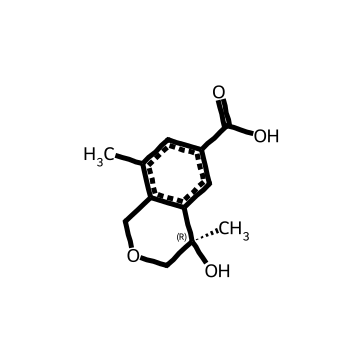 Cc1cc(C(=O)O)cc2c1COC[C@]2(C)O